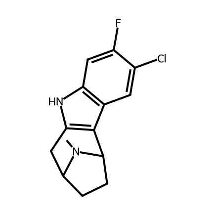 CN1C2CCC1c1c([nH]c3cc(F)c(Cl)cc13)C2